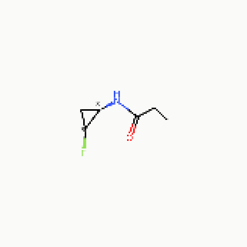 CCC(=O)N[C@@H]1C[C@@H]1F